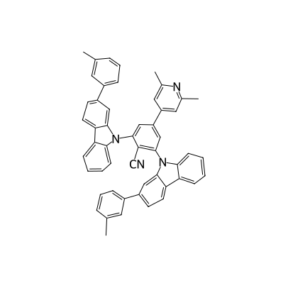 Cc1cccc(-c2ccc3c4ccccc4n(-c4cc(-c5cc(C)nc(C)c5)cc(-n5c6ccccc6c6ccc(-c7cccc(C)c7)cc65)c4C#N)c3c2)c1